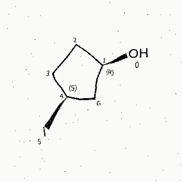 O[C@@H]1CC[C@H](I)C1